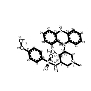 CN1C[C@@H](NS(=O)(=O)c2ccc(OC(F)(F)F)cc2)[C@H](O)[C@@H](N2c3ccccc3Sc3ccccc32)C1